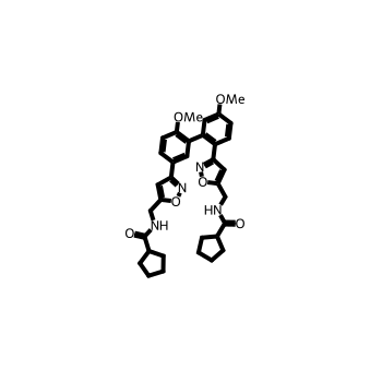 COc1ccc(-c2cc(CNC(=O)C3CCCC3)on2)c(-c2cc(-c3cc(CNC(=O)C4CCCC4)on3)ccc2OC)c1